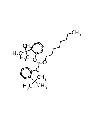 CCCCCCCCOP(Oc1ccccc1C(C)(C)C)Oc1ccccc1C(C)(C)C